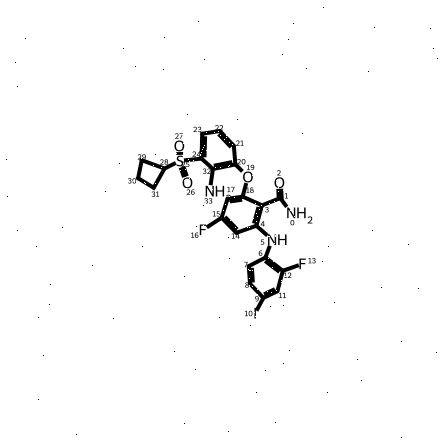 NC(=O)c1c(Nc2ccc(I)cc2F)cc(F)cc1Oc1cccc(S(=O)(=O)C2CCC2)c1N